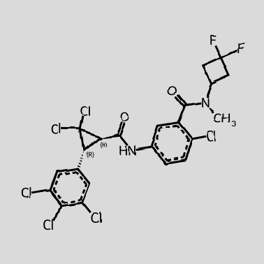 CN(C(=O)c1cc(NC(=O)[C@H]2[C@H](c3cc(Cl)c(Cl)c(Cl)c3)C2(Cl)Cl)ccc1Cl)C1CC(F)(F)C1